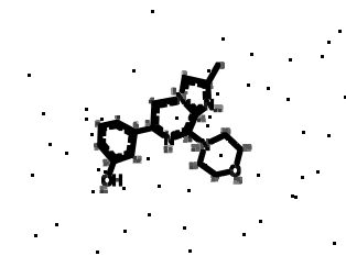 Cc1cn2cc(-c3cccc(O)c3)nc(N3CCOCC3)c2n1